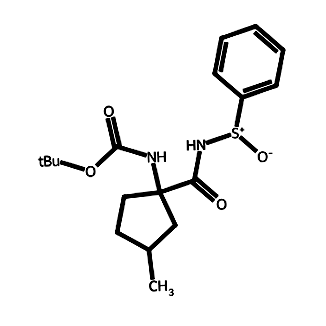 CC1CCC(NC(=O)OC(C)(C)C)(C(=O)N[S+]([O-])c2ccccc2)C1